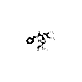 CC(CN)C[C@H](C(=O)OCc1ccccc1)c1nnc(N(N)C=O)[nH]1